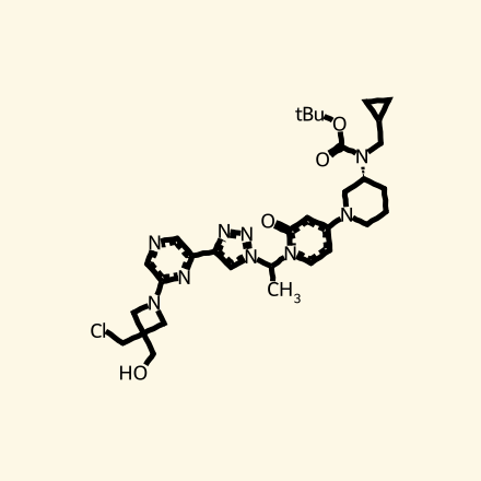 CC(n1cc(-c2cncc(N3CC(CO)(CCl)C3)n2)nn1)n1ccc(N2CCC[C@@H](N(CC3CC3)C(=O)OC(C)(C)C)C2)cc1=O